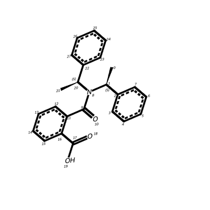 C[C@@H](c1ccccc1)N(C(=O)c1ccccc1C(=O)O)[C@@H](C)c1ccccc1